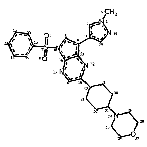 Cn1cc(-c2cn(S(=O)(=O)c3ccccc3)c3ncc(C4CCC(N5CCOCC5)CC4)nc23)cn1